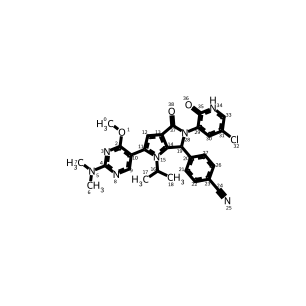 COc1nc(N(C)C)ncc1-c1cc2c(n1C(C)C)C(c1ccc(C#N)cc1)N(c1cc(Cl)c[nH]c1=O)C2=O